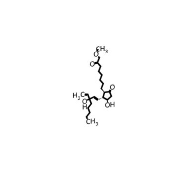 C=CC(O)(C=C[C@H]1[C@H](O)CC(=O)[C@@H]1CCCCCCC(=O)COC)CCCCC